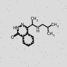 CC(C)CNC(C)c1n[nH]c(=O)c2ccccc12